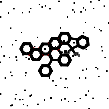 CC1(C)c2ccccc2-c2cccc(N(c3ccc(-c4ccccc4)cc3)c3ccccc3C(=C(c3ccccc3)c3ccccc3)c3ccccc3)c21